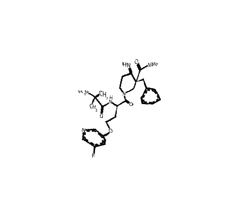 CNC(=O)[C@]1(Cc2ccccc2)CN(C(=O)[C@@H](CCOc2cncc(F)c2)NC(=O)C(C)(C)N)CCC1=N